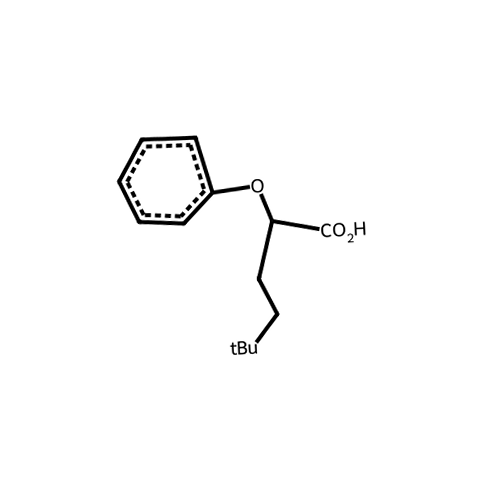 CC(C)(C)CCC(Oc1ccccc1)C(=O)O